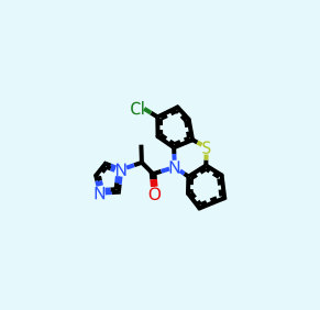 CC(C(=O)N1c2ccccc2Sc2ccc(Cl)cc21)n1ccnc1